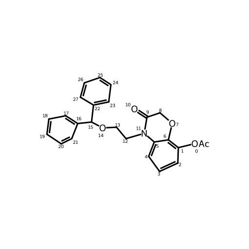 CC(=O)Oc1cccc2c1OCC(=O)N2CCOC(c1ccccc1)c1ccccc1